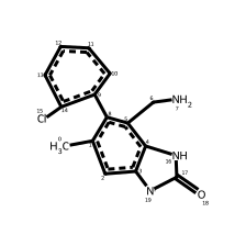 Cc1cc2c(c(CN)c1-c1ccccc1Cl)NC(=O)[N]2